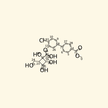 COC(=O)c1ccc(-c2ccc(Cl)c(O[C@@H](O)C3(O)C(O)[C@H](O)C3CO)c2)cc1